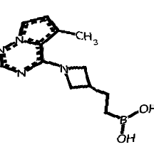 Cc1ccn2ncnc(N3CC(CCB(O)O)C3)c12